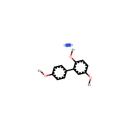 CCOc1ccc(-c2cc(OCC)ccc2OCC)cc1.N#N